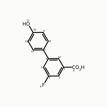 O=C(O)c1cc(F)cc(-c2ccc(O)cc2)c1